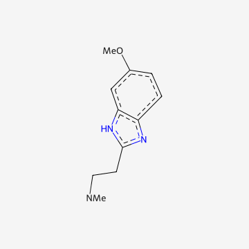 CNCCc1nc2ccc(OC)cc2[nH]1